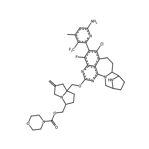 C=C1CN2C(COC(=O)N3CCOCC3)CCC2(COc2nc3c4c(c(Cl)c(-c5nc(N)cc(C)c5C(F)(F)F)c(F)c4n2)CCC2C4CCC(CN32)N4)C1